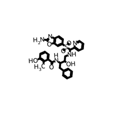 Cc1c(O)cccc1C(=O)NC(Cc1ccccc1)C(O)CNC(c1ccccn1)S(=O)(=O)c1ccc2nc(N)oc2c1